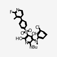 CCCCc1nc(O)c(S(=O)(=O)c2ccc(-c3ccnc(F)c3C)cc2)c(O)c1N(C)c1cccc(Cl)c1